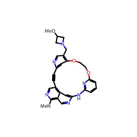 CNc1ncc2c3cc(ncc13)Nc1cccc(n1)OCCOc1cc(ncc1CN1CC(OC)C1)C#C2